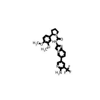 COc1ccc(C2CCCN2C(=O)Nc2cn3cc(-c4cnc(N)c(C(F)(F)F)c4)ccc3n2)cc1OC